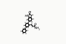 NC(=O)C=Cc1cc(-c2ccccc2)ccc1-c1ccc2c(c1)NC(=O)C2